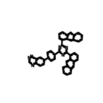 c1ccc2cc3c(-c4nc(-c5ccc(-c6ccc7ncnnc7c6)cc5)nc(-c5cccc6cc7ccccc7cc56)n4)cccc3cc2c1